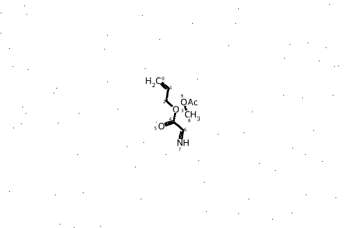 C=CCOC(=O)C=N.COC(C)=O